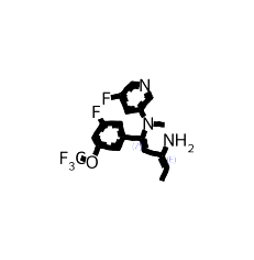 C/C=C(N)\C=C(\c1cc(F)cc(OC(F)(F)F)c1)N(C)c1cncc(F)c1